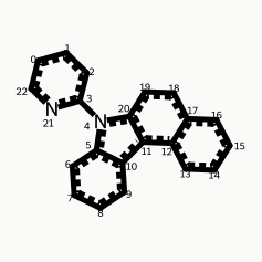 c1ccc(-n2c3ccccc3c3c4ccccc4ccc32)nc1